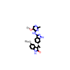 CCOc1cnc(C)nc1Nc1n[nH]c2cc([C@@H]3C[C@@]34C(=O)Nc3ccc(OC)cc34)ccc12